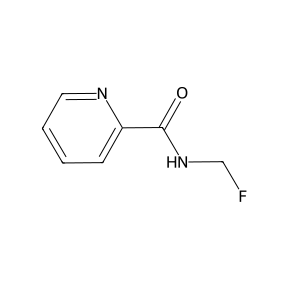 O=C(NCF)c1ccccn1